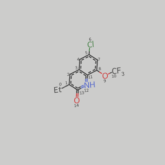 CCc1cc2cc(Cl)cc(OC(F)(F)F)c2[nH]c1=O